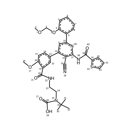 COCOc1ccccc1-c1cc(-c2ccc(OC)c(C(=O)NCCN(C(=O)O)C(C)(C)C)c2)c(C#N)c(NC(=O)c2cccs2)n1